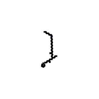 C=C(CCCCCCCCCC/C=C\CCCCC)CCC(CCC)CCC(=C)CCCN1CCCC1